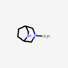 CCOC(=O)N1CC2CCC(C1)NC2